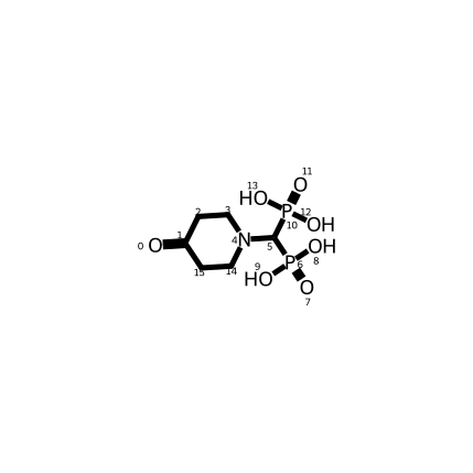 O=C1CCN(C(P(=O)(O)O)P(=O)(O)O)CC1